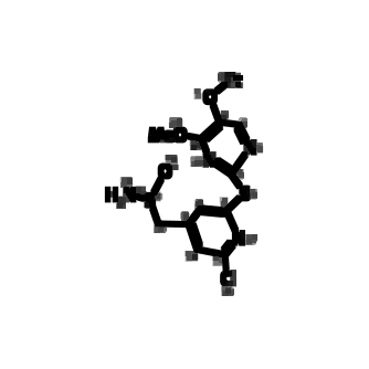 CCOc1cnc(Sc2cc(C[S+](N)[O-])cc(Cl)n2)nc1OC